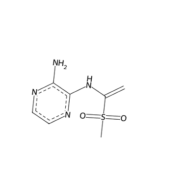 C=C(Nc1nccnc1N)S(C)(=O)=O